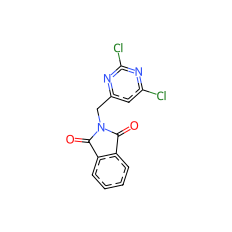 O=C1c2ccccc2C(=O)N1Cc1cc(Cl)nc(Cl)n1